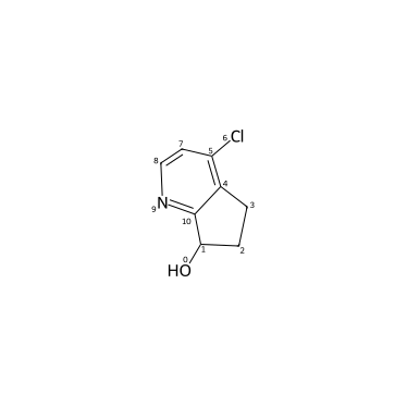 OC1CCc2c(Cl)ccnc21